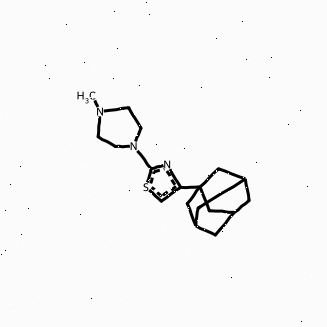 CN1CCN(c2nc(C34CC5CC(CC(C5)C3)C4)cs2)CC1